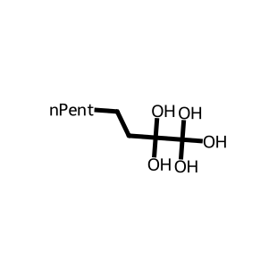 CCCCCCCC(O)(O)C(O)(O)O